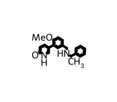 COc1ccc(CN[C@H](C)c2ccccc2)cc1-c1ccc(=O)[nH]c1